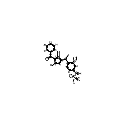 Cc1cc(C(C)c2ccc(NS(C)(=O)=O)cc2Cl)[nH]c1C(=O)c1ccccc1